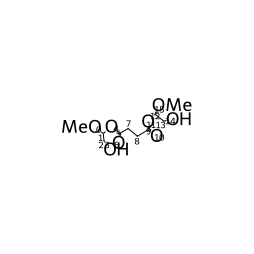 COC(CO)OC(=O)CCC(=O)OC(CO)OC